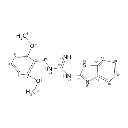 COc1cccc(OC)c1CNC(=N)Nc1nc2ccccc2s1